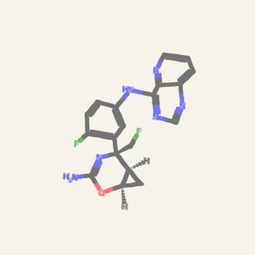 NC1=N[C@](CF)(c2cc(Nc3ncnc4cccnc34)ccc2F)[C@H]2C[C@H]2O1